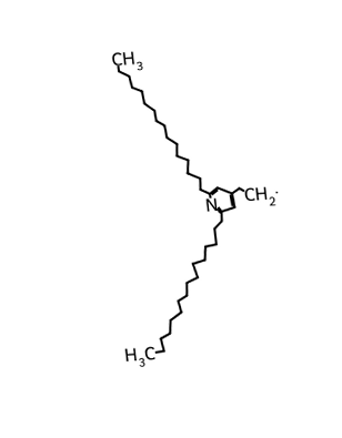 [CH2]Cc1cc(CCCCCCCCCCCCCCCC)nc(CCCCCCCCCCCCCCCC)c1